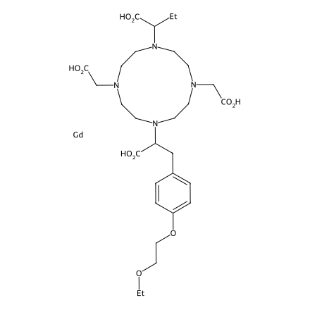 CCOCCOc1ccc(CC(C(=O)O)N2CCN(CC(=O)O)CCN(C(CC)C(=O)O)CCN(CC(=O)O)CC2)cc1.[Gd]